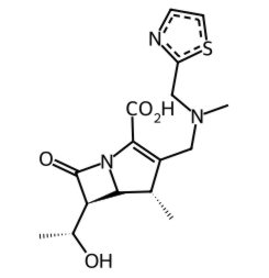 C[C@H]1C(CN(C)Cc2nccs2)=C(C(=O)O)N2C(=O)[C@H]([C@@H](C)O)C12